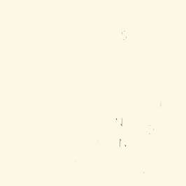 c1ccc(-c2nc(-c3cccc(-c4cccc5c4sc4ccccc45)c3)nc3c2oc2ccc(-c4cccc(-c5cccc6c5sc5ccccc56)c4)cc23)cc1